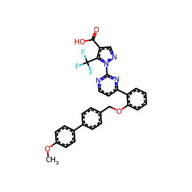 COc1ccc(-c2ccc(COc3ccccc3-c3ccnc(-n4ncc(C(=O)O)c4C(F)(F)F)n3)cc2)cc1